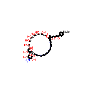 CNc1ccc(C(=O)CC(O)CCC(C)C2OC(=O)CC(O)CC(O)CC(O)CC(O)CC(O)CC(O)CC3(O)CC(O)C(C(=O)O)C(CC(O[C@@H]4OC[C@@H](O)[C@H](N)[C@@H]4O)/C=C/C=C/C=C/C=C/C=C/C=C/C=C/C2C)O3)cc1